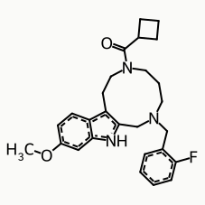 COc1ccc2c3c([nH]c2c1)CN(Cc1ccccc1F)CCCN(C(=O)C1CCC1)CC3